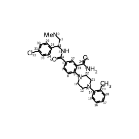 CNC[C@@H](NC(=O)c1ccc(N2CCN(c3ccccc3C)CC2)c(C(N)=O)c1)c1ccc(Cl)cc1